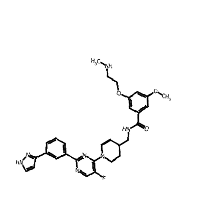 CNCCOc1cc(OC)cc(C(=O)NCC2CCN(c3nc(-c4cccc(-c5cc[nH]n5)c4)ncc3F)CC2)c1